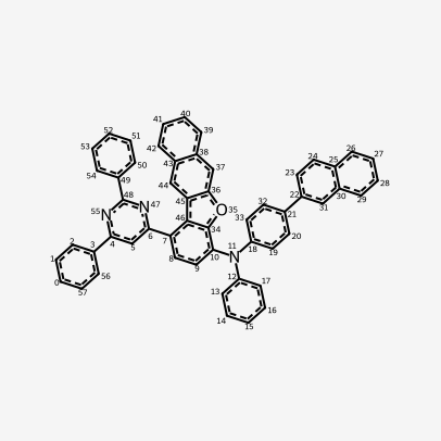 c1ccc(-c2cc(-c3ccc(N(c4ccccc4)c4ccc(-c5ccc6ccccc6c5)cc4)c4oc5cc6ccccc6cc5c34)nc(-c3ccccc3)n2)cc1